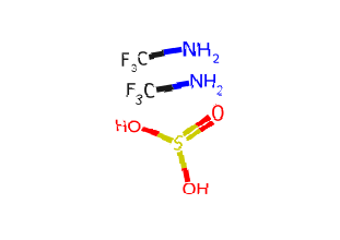 NC(F)(F)F.NC(F)(F)F.O=S(O)O